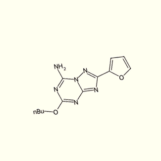 CCCCOc1nc(N)n2nc(-c3ccco3)nc2n1